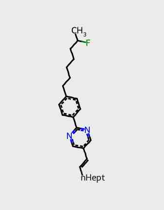 CCCCCCCC=Cc1cnc(-c2ccc(CCCCCC(C)F)cc2)nc1